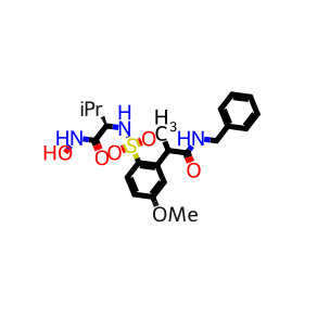 COc1ccc(S(=O)(=O)N[C@@H](C(=O)NO)C(C)C)c(C(C)C(=O)NCc2ccccc2)c1